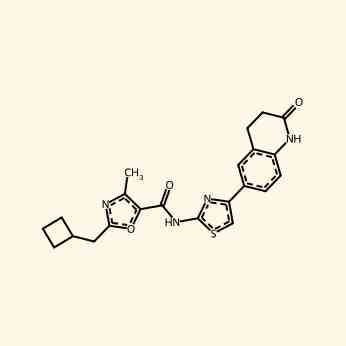 Cc1nc(CC2CCC2)oc1C(=O)Nc1nc(-c2ccc3c(c2)CCC(=O)N3)cs1